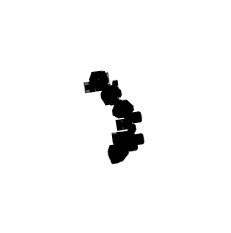 C[C@@H]1CN(c2ccc(C(=O)NC[C@H](NS(=O)(=O)c3ccccc3)C(=O)O)cc2)CCN1C1=NCCCN1